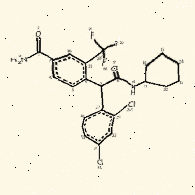 NC(=O)c1ccc(C(C(=O)NC2CCCCC2)c2ccc(Cl)cc2Cl)c(C(F)(F)F)c1